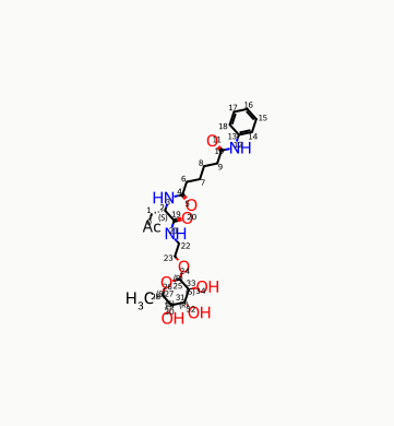 CC(=O)C[C@H](NC(=O)CCCCC(=O)Nc1ccccc1)C(=O)NCCO[C@@H]1O[C@@H](C)[C@@H](O)[C@@H](O)[C@@H]1O